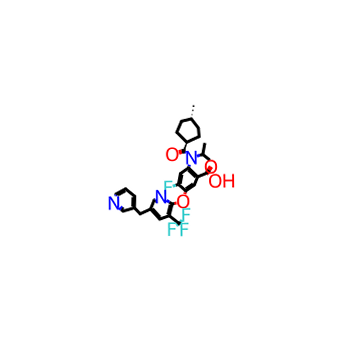 CC(C)N(c1cc(F)c(Oc2ncc(Cc3cccnc3)cc2C(F)(F)F)cc1C(=O)O)C(=O)[C@H]1CC[C@H](C)CC1